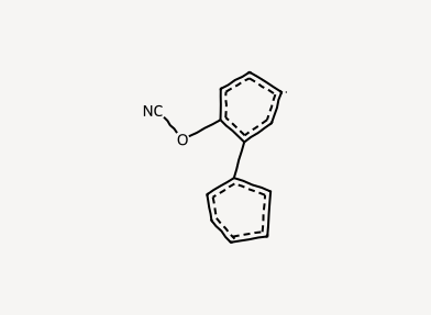 N#COc1cc[c]cc1-c1ccccc1